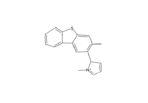 Cc1cc2sc3ccccc3c2cc1C1C=CC=[N+]1C